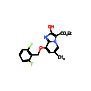 CCOC(=O)c1c(O)nc2c(OCc3c(F)cccc3F)cc(C)cn12